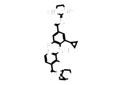 O=C(N=C1NCCN1)c1cc(F)c(Nc2nccc(C(=O)N3CC4CC3CO4)c2Cl)c(C2CC2)c1